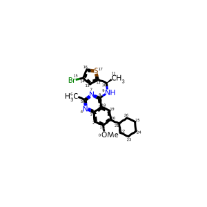 COc1cc2nc(C)nc(N[C@H](C)c3cc(Br)cs3)c2cc1C1CCCCC1